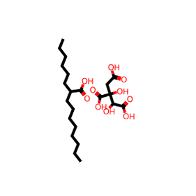 CCCCCCCCC(CCCCCC)C(=O)O.O=C(O)CC(O)(C(=O)O)C(O)C(=O)O